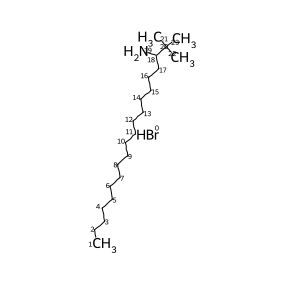 Br.CCCCCCCCCCCCCCCCCC(N)C(C)(C)C